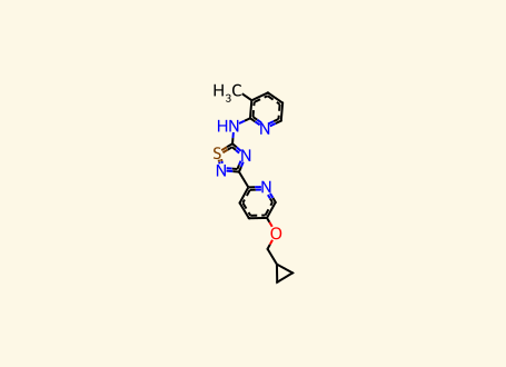 Cc1cccnc1Nc1nc(-c2ccc(OCC3CC3)cn2)ns1